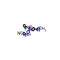 Cn1cc(-c2ccc(N(C(=O)NCc3ccccc3F)C3CCC(Nc4ccc(C#N)cn4)CC3)cc2)cn1